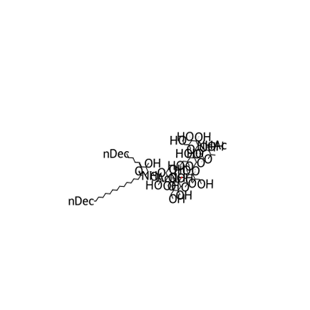 CCCCCCCCCCCCC/C=C/[C@@H](O)[C@H](CO[C@@H]1OC(CO)[C@@H](O[C@@H]2OC(CO)[C@H](O)[C@H](O[C@@H]3OC(CO)[C@@H](O[C@@H]4OC(CO)[C@H](O)[C@H](O[C@H]5OC(CO)[C@H](O)[C@H](O)C5NC(C)=O)C4O[C@H]4OC(C)[C@@H](O)C(O)[C@@H]4O)[C@H](O)C3NC(C)=O)C2O)[C@H](O)C1O)NC(=O)CCCCCCCCCCCCCCCCCCCCCCC